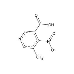 Cc1cncc(C(=O)O)c1[N+](=O)[O-]